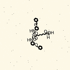 O=C(CCCCCCC(=O)N(CC(=O)Nc1cccc(OCc2ccccc2)c1)CC(=O)Nc1cccc(OCc2ccccc2)c1)NO